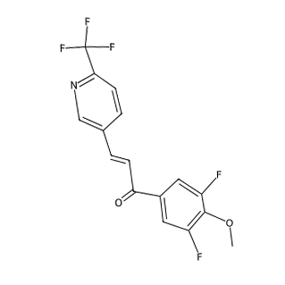 COc1c(F)cc(C(=O)C=Cc2ccc(C(F)(F)F)nc2)cc1F